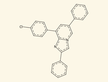 Clc1ccc(-c2cc(-c3ccccc3)cn3cc(-c4ccccc4)nc23)cc1